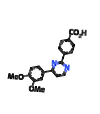 COc1ccc(-c2ccnc(-c3ccc(C(=O)O)cc3)n2)cc1OC